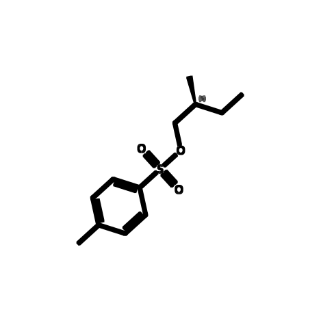 CC[C@H](C)COS(=O)(=O)c1ccc(C)cc1